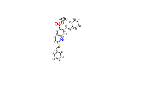 CC(C)(C)OC(=O)N1Cc2ccc(SCc3ccccc3)nc2CC1CCC1CCCCC1